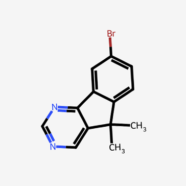 CC1(C)c2ccc(Br)cc2-c2ncncc21